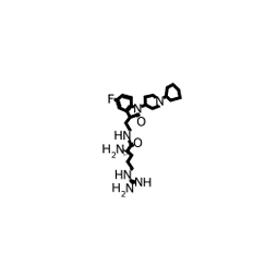 N=C(N)NCCC[C@H](N)C(=O)NCCC1C(=O)N(C2CCN(C3CCCCC3)CC2)c2ccc(F)cc21